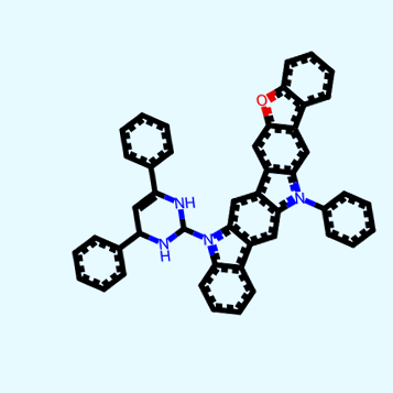 C1=C(c2ccccc2)NC(n2c3ccccc3c3cc4c(cc32)c2cc3oc5ccccc5c3cc2n4-c2ccccc2)NC1c1ccccc1